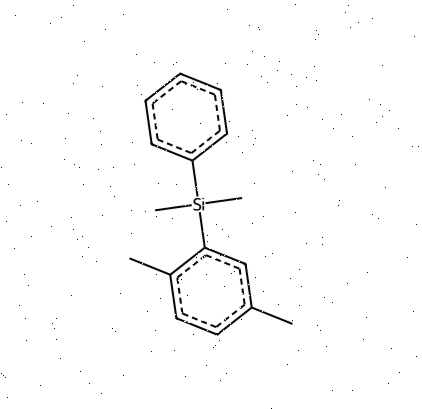 Cc1ccc(C)c([Si](C)(C)c2ccccc2)c1